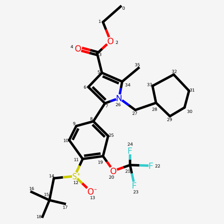 CCOC(=O)c1cc(-c2ccc([S+]([O-])CC(C)(C)C)c(OC(F)(F)F)c2)n(CC2CCCCC2)c1C